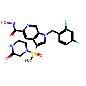 C[SH](=O)(c1cn(Cc2ccc(F)cc2F)c2cnc(C(=O)NO)cc12)N1CCNC(=O)C1